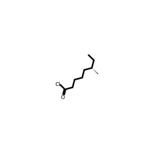 CC[C@H](C)CCCCC(=O)Cl